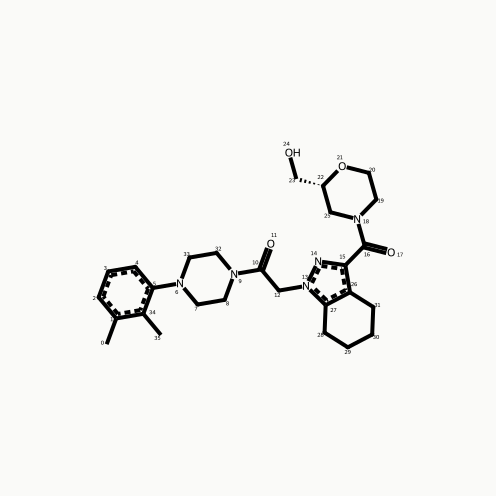 Cc1cccc(N2CCN(C(=O)Cn3nc(C(=O)N4CCO[C@@H](CO)C4)c4c3CCCC4)CC2)c1C